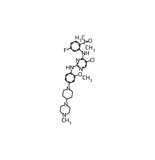 COc1cc(N2CCC(N3CCN(C)CC3)CC2)ccc1Nc1ncc(Cl)c(Nc2cc(F)ccc2P(C)(C)=O)n1